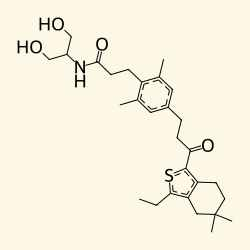 CCc1sc(C(=O)CCc2cc(C)c(CCC(=O)NC(CO)CO)c(C)c2)c2c1CC(C)(C)CC2